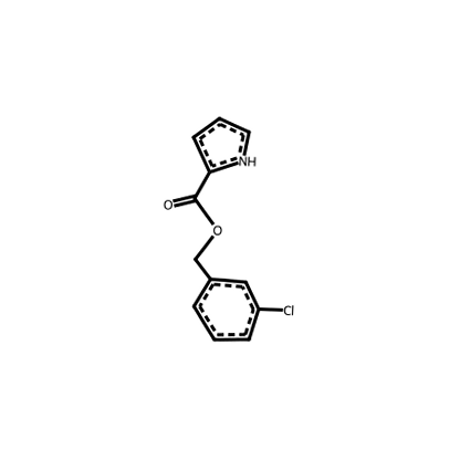 O=C(OCc1cccc(Cl)c1)c1ccc[nH]1